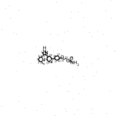 Cc1cccc(-c2c[nH]nc2-c2ccnc(-c3ccc(OCCOC(N)=O)cc3)c2)n1